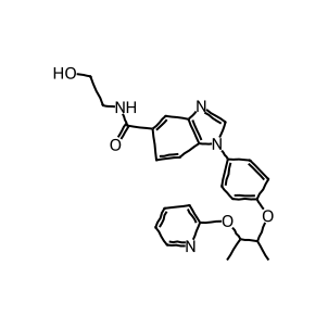 CC(Oc1ccc(-n2cnc3cc(C(=O)NCCO)ccc32)cc1)C(C)Oc1ccccn1